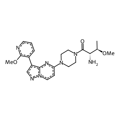 COc1ncccc1-c1cnn2ccc(N3CCN(C(=O)[C@@H](N)[C@@H](C)OC)CC3)nc12